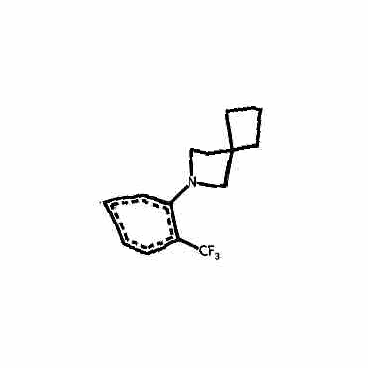 FC(F)(F)c1cc[c]cc1N1CC2(CCC2)C1